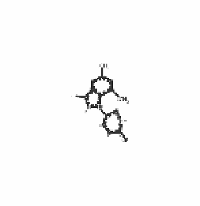 Cc1cc(C)c2c(c1)c(I)nn2-c1ccc(F)nc1